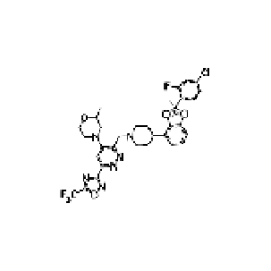 CC1CN(c2cc(-c3noc(C(F)(F)F)n3)nnc2CN2CCC(c3cccc4c3O[C@@](C)(c3ccc(Cl)cc3F)O4)CC2)CCO1